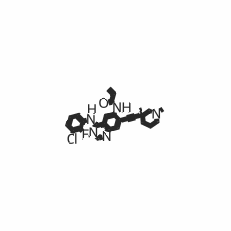 C=CC(=O)Nc1cc2c(Nc3cccc(Cl)c3F)ncnc2cc1C#C[C@@]1(C)CCCN(C)C1